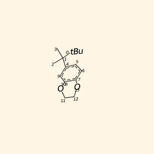 CC(C)(C)C(C)(C)c1ccc2c(c1)OCCO2